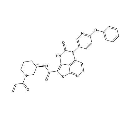 C=CC(=O)N1CCC[C@@H](NC(=O)c2sc3nccc4c3c2NC(=O)N4c2ccc(Oc3ccccc3)nc2)C1